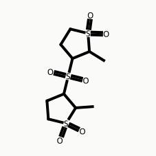 CC1C(S(=O)(=O)C2CCS(=O)(=O)C2C)CCS1(=O)=O